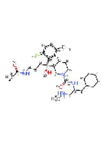 CNCC(CC1CCCCC1)NC(=O)N1CCCC([C@@](O)(CCCNC(C)=O)c2cc(C)ccc2F)C1